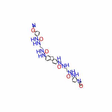 N#COc1cccc(NC(=O)NCCCNC(=O)Nc2ccc3c(c2)Cc2cc(NC(=O)NCCCNC(=O)Nc4cccc(N=C=O)c4)ccc2-3)c1